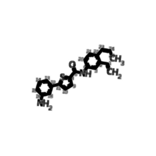 C=Cc1cc(NC(=O)c2ccc(-c3cccc(N)c3)s2)ccc1/C=C\C